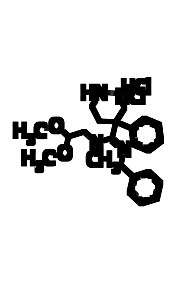 COC(CN(C)C(=NCc1ccccc1)C1(c2ccccc2)CCNCC1)OC.Cl.Cl